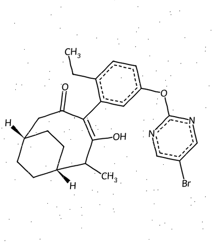 CCc1ccc(Oc2ncc(Br)cn2)cc1/C1=C(\O)C(C)[C@H]2CC[C@H](CC2)CC1=O